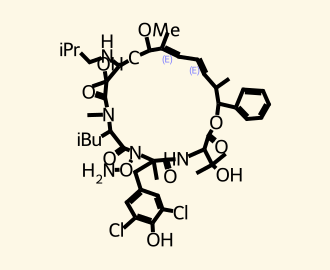 CCC(C)C1C(=O)N(ON)C(C)(Cc2cc(Cl)c(O)c(Cl)c2)C(=O)NC(C(C)(C)O)C(=O)OC(c2ccccc2)C(C)/C=C/C=C(\C)C(OC)CC(NCC(C)C)C(C)(O)C(=O)N1C